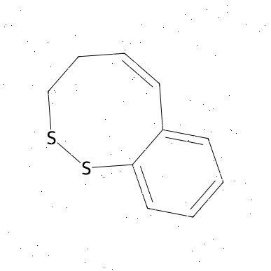 C1=Cc2ccccc2SSCC1